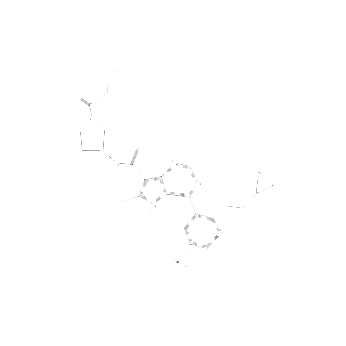 COCC(=O)N1C[C@@H](C)[C@H](NC(=O)c2c(C)[nH]c3c(-c4cc(C(F)(F)F)ccc4OCC4CC4)ncnc23)C1